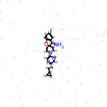 N[C@@H]1c2cc(F)ccc2OC12CCN(c1cnc(SCC3CC3)cn1)CC2